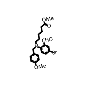 COC(=O)CCCCCN(Cc1ccc(OC)cc1)c1ccc(Br)cc1C=O